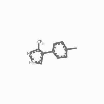 Cc1ccc(-c2c[nH]nc2C(F)(F)F)cc1